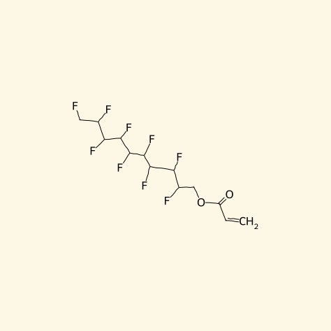 C=CC(=O)OCC(F)C(F)C(F)C(F)C(F)C(F)C(F)C(F)CF